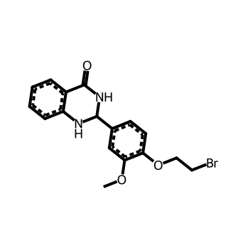 COc1cc(C2NC(=O)c3ccccc3N2)ccc1OCCBr